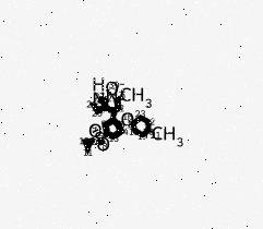 Cc1cc(-c2cc(S(=O)(=O)C3CC3)ccc2O[C@H]2CC[C@H](C)CC2)c2cc[nH]c2[n+]1[O-]